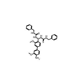 COc1cc(-c2ccc(N(NC(=S)NCc3ccccc3)NC(=S)NCc3ccccc3)c(OC)c2)ccc1N